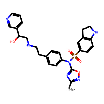 CCCCCCc1noc(N(c2ccc(CCNCC(O)c3cccnc3)cc2)S(=O)(=O)c2ccc3c(c2)CCN3)n1